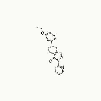 CCOc1cccc(-c2ccc3c(=O)n(-c4ccccn4)ncc3c2)c1